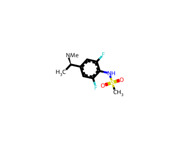 CN[C@H](C)c1cc(F)c(NS(C)(=O)=O)c(F)c1